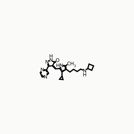 Cc1[nH]c(C=C2C(=O)NN=C2c2cnccn2)c(C2CC2)c1CCCCNC1CCC1